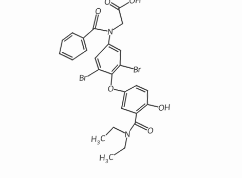 CCN(CC)C(=O)c1cc(Oc2c(Br)cc(N(CC(=O)O)C(=O)c3ccccc3)cc2Br)ccc1O